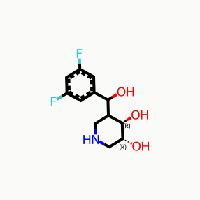 OC(c1cc(F)cc(F)c1)C1CNC[C@@H](O)[C@@H]1O